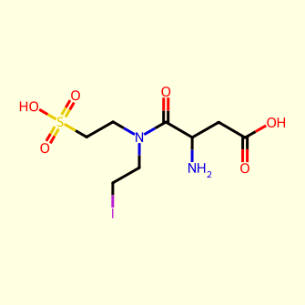 NC(CC(=O)O)C(=O)N(CCI)CCS(=O)(=O)O